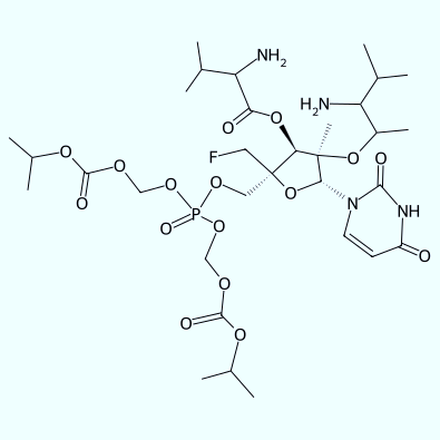 CC(C)OC(=O)OCOP(=O)(OCOC(=O)OC(C)C)OC[C@@]1(CF)O[C@@H](n2ccc(=O)[nH]c2=O)[C@](C)(OC(C)C(N)C(C)C)[C@@H]1OC(=O)C(N)C(C)C